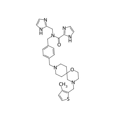 Cc1ccsc1CN1CCOC2(CCN(Cc3ccc(CN(Cc4ncc[nH]4)C(=O)c4ncc[nH]4)cc3)CC2)C1